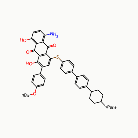 CCCCCC1CCC(c2ccc(-c3ccc(Sc4cc(-c5ccc(OCCCC)cc5)c(O)c5c4C(=O)c4c(N)ccc(O)c4C5=O)cc3)cc2)CC1